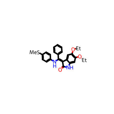 CCOc1cc2c(cc1OCC)/C(=C(/Nc1ccc(SC)cc1)c1ccccc1)C(=O)N2